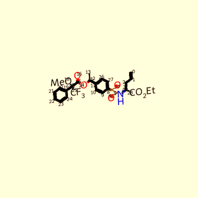 C=CC[C@H](NS(=O)(=O)c1ccc([C@H](C)OC(=O)[C@](OC)(c2ccccc2)C(F)(F)F)cc1)C(=O)OCC